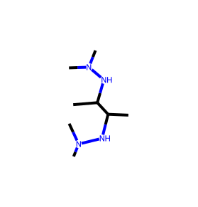 CC(NN(C)C)C(C)NN(C)C